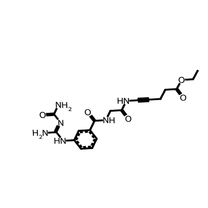 CCOC(=O)CCC#CNC(=O)CNC(=O)c1cccc(NC(N)=NC(N)=O)c1